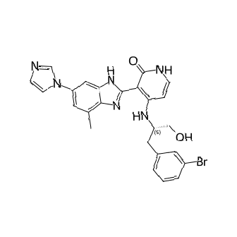 Cc1cc(-n2ccnc2)cc2[nH]c(-c3c(N[C@H](CO)Cc4cccc(Br)c4)cc[nH]c3=O)nc12